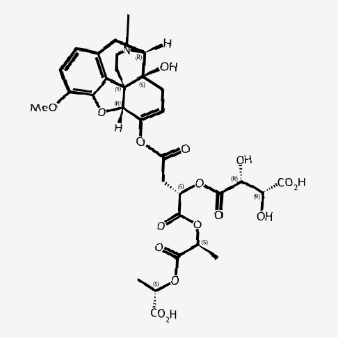 COc1ccc2c3c1O[C@H]1C(OC(=O)C[C@H](OC(=O)[C@H](O)[C@@H](O)C(=O)O)C(=O)O[C@@H](C)C(=O)O[C@@H](C)C(=O)O)=CC[C@@]4(O)[C@@H](C2)N(C)CC[C@]314